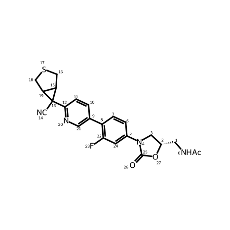 CC(=O)NC[C@H]1CN(c2ccc(-c3ccc(C4(C#N)C5CSCC54)nc3)c(F)c2)C(=O)O1